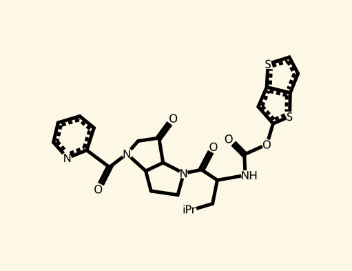 CC(C)CC(NC(=O)Oc1cc2sccc2s1)C(=O)N1CCC2C1C(=O)CN2C(=O)c1ccccn1